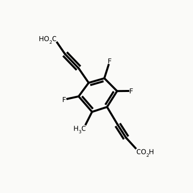 Cc1c(F)c(C#CC(=O)O)c(F)c(F)c1C#CC(=O)O